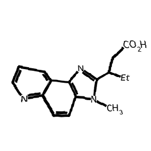 CCC(CC(=O)O)c1nc2c3cccnc3ccc2n1C